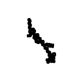 CCCCCc1ccc(-c2cc3ccc(OCC(CO)CCCCOC(=O)C(C)(CC(C)(C)C)C(C)C)cc3o2)c(CC)c1